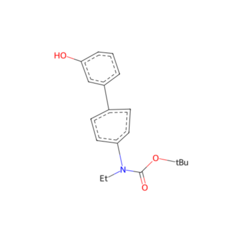 CCN(C(=O)OC(C)(C)C)c1ccc(-c2cccc(O)c2)cc1